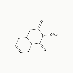 CON1C(=O)CC2CC=CCC2C1=O